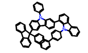 C1=CC(n2c3ccccc3c3cccc(-c4ccc5c6cc(C7(c8ccccc8)c8ccccc8-c8ccccc87)ccc6n(-c6ccccc6)c5c4)c32)CC=C1c1ccccc1